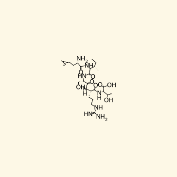 CC[C@H](C)[C@H](NC(=O)[C@@H](N)CCSC)C(=O)N[C@@H](CO)C(=O)N[C@@H](CCCNC(=N)N)C(=O)N[C@H](C(=O)O)[C@@H](C)O